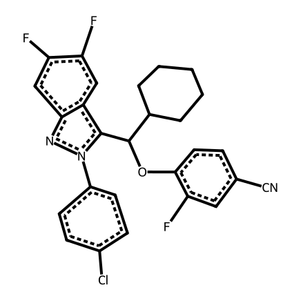 N#Cc1ccc(OC(c2c3cc(F)c(F)cc3nn2-c2ccc(Cl)cc2)C2CCCCC2)c(F)c1